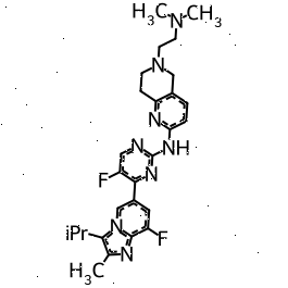 Cc1nc2c(F)cc(-c3nc(Nc4ccc5c(n4)CCN(CCN(C)C)C5)ncc3F)cn2c1C(C)C